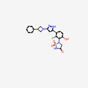 O=C1CN(c2c(O)ccc(-c3cc(N4CC(c5ccccc5)C4)n[nH]3)c2F)S(=O)(=O)N1